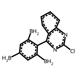 Bc1cc(B)c(-c2nc(Cl)nc3ccccc23)c(B)c1